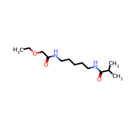 CCOCC(=O)NCCCCCNC(=O)C(C)C